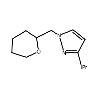 CC(C)c1ccn(CC2CCCCO2)n1